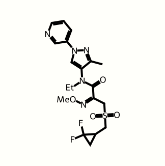 CCN(C(=O)C(CS(=O)(=O)CC1CC1(F)F)=NOC)c1cn(-c2cccnc2)nc1C